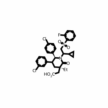 CC[C@]1(CC(=O)O)CC(c2cccc(Cl)c2)[C@@H](c2ccc(Cl)cc2)N(C(CS(=O)(=O)c2ccccc2F)C2CC2)C1=O